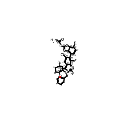 CN(Cc1ccccc1)C1C[C@H]2CC[C@@H]1N2c1nc(F)nc2c(F)c(-c3ccc(F)c4sc(OC(N)=O)nc34)c(Cl)cc12